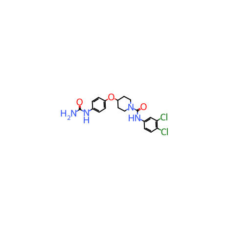 NC(=O)Nc1ccc(OC2CCN(C(=O)Nc3ccc(Cl)c(Cl)c3)CC2)cc1